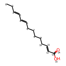 CCC=CC=CCCCCCC=CC(=O)O